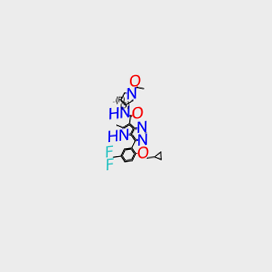 CC(=O)N1C[C@@H](C)[C@H](NC(=O)c2c(C)[nH]c3c(-c4cc(C(F)F)ccc4OCC4CC4)ncnc23)C1